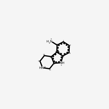 Nc1cccc2[nH]c3c(c12)CCNC3